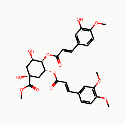 COC(=O)[C@]1(O)C[C@@H](O)[C@@H](OC(=O)/C=C/c2ccc(OC)c(O)c2)[C@H](OC(=O)/C=C/c2ccc(OC)c(OC)c2)C1